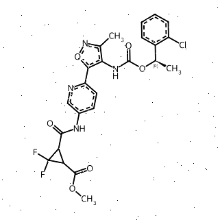 COC(=O)C1C(C(=O)Nc2ccc(-c3onc(C)c3NC(=O)O[C@H](C)c3ccccc3Cl)nc2)C1(F)F